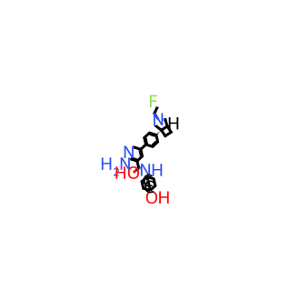 Nc1ncc(-c2ccc([C@@]34CC[C@@H]3CN(CCF)C4)cc2)cc1C(O)NC12CCC(O)(CC1)CC2